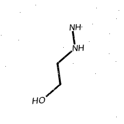 [NH]NCCO